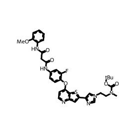 COc1ccccc1NC(=O)CC(=O)Nc1ccc(Oc2ccnc3cc(-c4cn(CCN(C)C(=O)OC(C)(C)C)cn4)sc23)c(F)c1